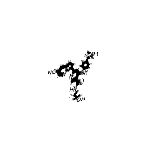 CC(C)(O)[C@H](F)CNC(=O)c1cnc(-c2ccc3cc(C#N)cnn23)cc1Nc1ccc(-c2nc[nH]n2)cc1